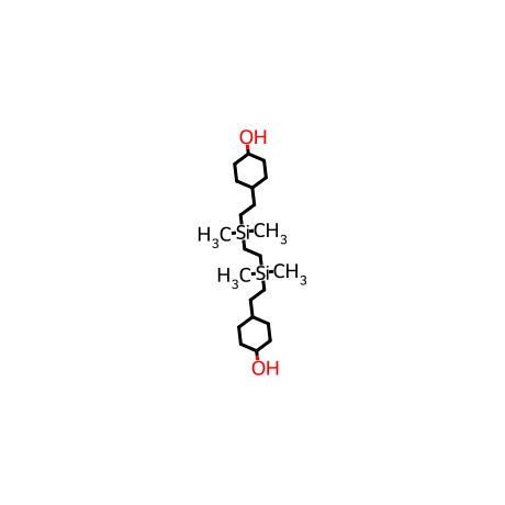 C[Si](C)(CCC1CCC(O)CC1)CC[Si](C)(C)CCC1CCC(O)CC1